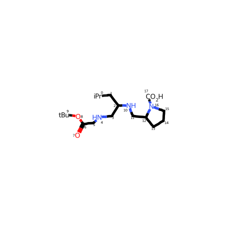 CC(C)CC(CNCC(=O)OC(C)(C)C)NCC1CCCN1C(=O)O